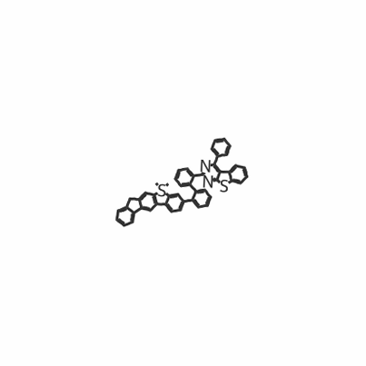 CS1(C)c2cc(-c3ccccc3-c3ccccc3-c3nc(-c4ccccc4)c4c(n3)sc3ccccc34)ccc2-c2cc3c(cc21)Cc1ccccc1-3